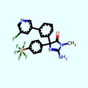 CN1C(=O)C(c2ccc(S(F)(F)(F)(F)F)cc2)(c2cccc(-c3cncc(F)c3)c2)N=C1N